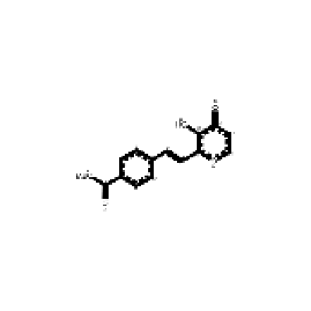 COC(=O)c1ccc(C=Cc2occc(=O)c2O)cc1